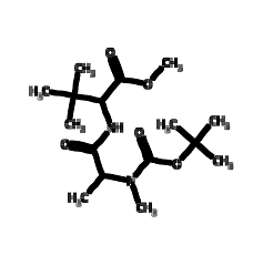 COC(=O)C(NC(=O)C(C)N(C)C(=O)OC(C)(C)C)C(C)(C)C